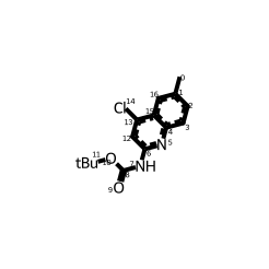 Cc1ccc2nc(NC(=O)OC(C)(C)C)cc(Cl)c2c1